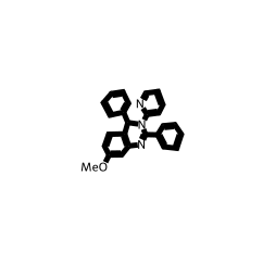 COc1ccc2c(c1)N=C(c1ccccc1)N(c1ccccn1)C2c1ccccc1